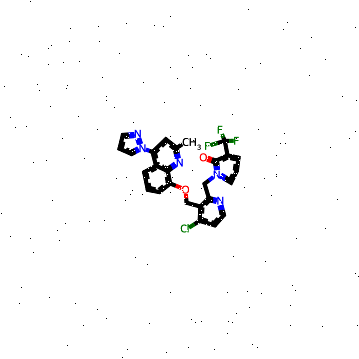 Cc1cc(-n2cccn2)c2cccc(OCc3c(Cl)ccnc3Cn3cccc(C(F)(F)F)c3=O)c2n1